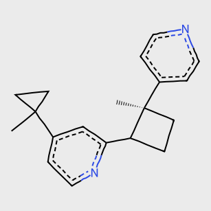 CC1(c2ccnc(C3CC[C@]3(C)c3ccncc3)c2)CC1